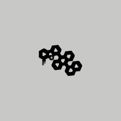 Fc1cccc2c1oc1c(-c3c4ccccc4c(-c4cccc5ccccc45)c4ccccc34)cccc12